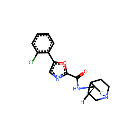 O=C(N[C@H]1CN2CCC1CC2)c1ncc(-c2ccccc2Cl)o1